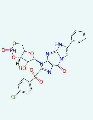 O=c1c2nc(S(=O)(=O)c3ccc(Cl)cc3)n([C@@H]3OC4CO[PH](=O)O[C@H]4C3O)c2nc2[nH]c(-c3ccccc3)cn12